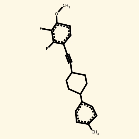 COc1ccc(C#CC2CCC(c3ccc(C)cc3)CC2)c(F)c1F